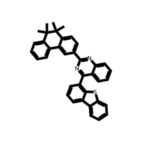 CC1(C)c2ccccc2-c2cc(-c3nc(-c4cccc5c4sc4ccccc45)c4ccccc4n3)ccc2C1(C)C